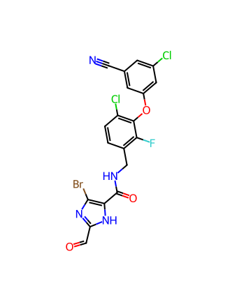 N#Cc1cc(Cl)cc(Oc2c(Cl)ccc(CNC(=O)c3[nH]c(C=O)nc3Br)c2F)c1